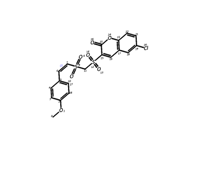 COc1ccc(/C=C\S(=O)(=O)CS(=O)(=O)c2cc3cc(Cl)ccc3oc2=O)cc1